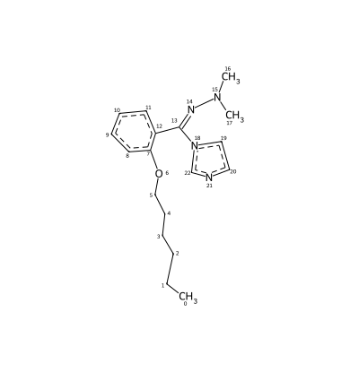 CCCCCCOc1ccccc1C(=NN(C)C)n1ccnc1